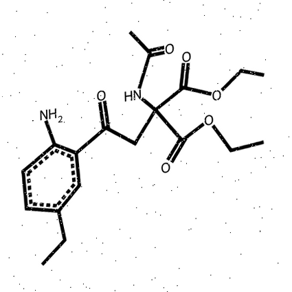 CCOC(=O)C(CC(=O)c1cc(CC)ccc1N)(NC(C)=O)C(=O)OCC